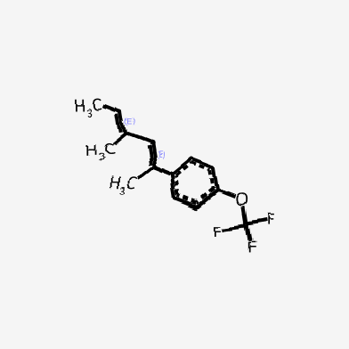 C/C=C(C)/C=C(\C)c1ccc(OC(F)(F)F)cc1